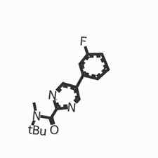 CN(C(=O)c1ncc(-c2cccc(F)c2)cn1)C(C)(C)C